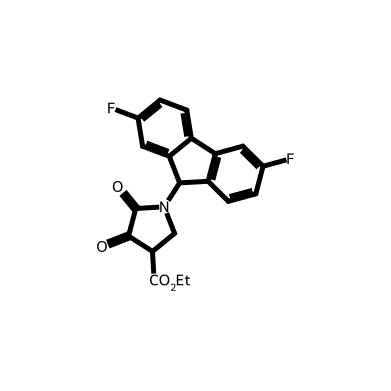 CCOC(=O)C1CN(C2c3ccc(F)cc3-c3ccc(F)cc32)C(=O)C1=O